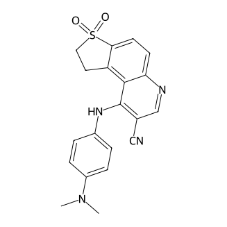 CN(C)c1ccc(Nc2c(C#N)cnc3ccc4c(c23)CCS4(=O)=O)cc1